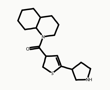 O=C(C1C=C(C2CCNC2)SC1)N1CCCC2CCCCC21